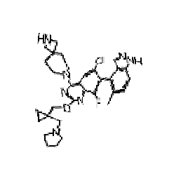 Cc1ccc2[nH]ncc2c1-c1c(Cl)cc2c(N3CCC4(CC3)CNC4)nc(OCC3(CN4CCCC4)CC3)nc2c1F